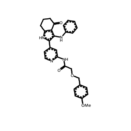 COc1ccc(COCC(=O)Nc2cc(-c3[nH]c4c(c3Nc3ccccc3)C(=O)CCC4)ccn2)cc1